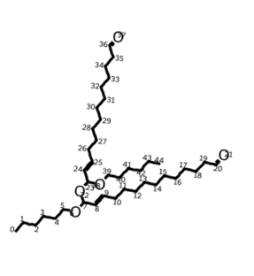 CCCCCCOC(C=CCCCCCCCCCCC=O)OC(C=CCCCCCCCCCCC=O)OCCCCCC